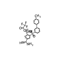 CSc1sc(C(=N)N)cc1S(=O)(=O)c1cccc(-c2ccc(C)cc2)c1.O=C(O)C(F)(F)F